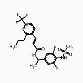 CCCc1nc(C(F)(F)F)ccc1C=CC(=O)NC(C)c1cc(F)c(NS(C)(=O)=O)c(F)c1